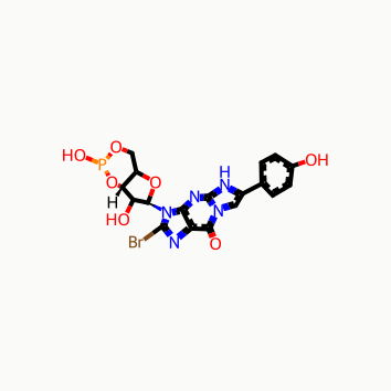 O=c1c2nc(Br)n([C@@H]3OC4COP(O)O[C@H]4C3O)c2nc2[nH]c(-c3ccc(O)cc3)cn12